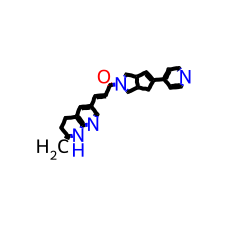 C=C1CCc2cc(/C=C/C(=O)N3CC4C=C(c5ccncc5)CC4C3)cnc2N1